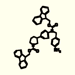 Nc1ccc(CN(C(=O)OCC2c3ccccc3-c3ccccc32)c2ccc(C3CCCN(C(=O)OCC4c5ccccc5-c5ccccc54)C3)cc2)cc1